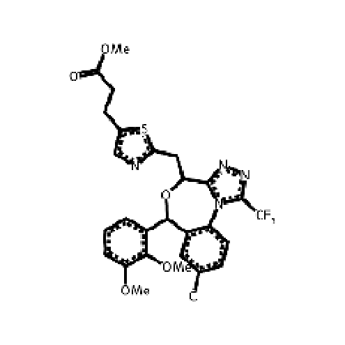 COC(=O)CCc1cnc(CC2OC(c3cccc(OC)c3OC)c3cc(Cl)ccc3-n3c2nnc3C(F)(F)F)s1